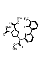 COC(=O)[C@@H]1C[C@H](N(C(=O)OC(C)(C)C)c2cccc(-c3cccc(C(F)(F)F)c3F)n2)CN1C(=O)OC(C)(C)C